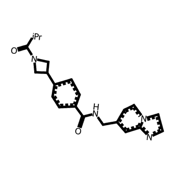 CC(C)C(=O)N1CC(c2ccc(C(=O)NCc3ccn4ccnc4c3)cc2)C1